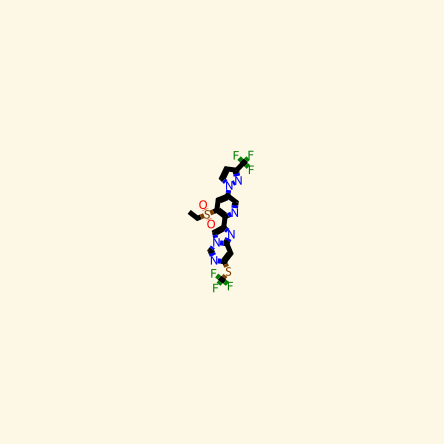 CCS(=O)(=O)c1cc(-n2ccc(C(F)(F)F)n2)cnc1-c1cn2cnc(SC(F)(F)F)cc2n1